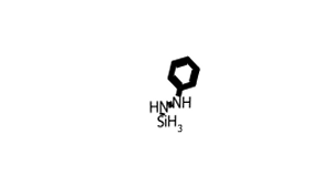 [SiH3]NNc1ccccc1